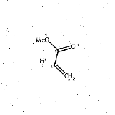 C=CC(=O)OC.[H+]